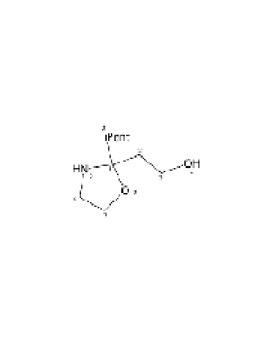 CCCC(C)C1(CCO)NCCO1